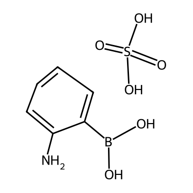 Nc1ccccc1B(O)O.O=S(=O)(O)O